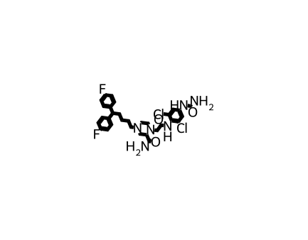 NC(=O)Nc1cc(Cl)c(NC(=O)CN2CCN(CCCCC(c3ccc(F)cc3)c3ccc(F)cc3)CC2C(N)=O)c(Cl)c1